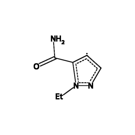 CCn1nc[c]c1C(N)=O